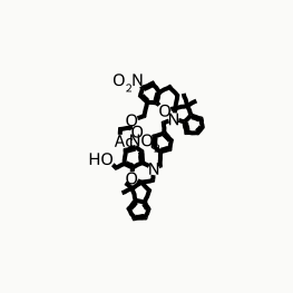 CC(=O)CC(=O)OCc1cc([N+](=O)[O-])cc2c1OC1(CC2)N(Cc2ccc(CN3CC4(Cc5ccccc5C4(C)C)Oc4c(CO)cc([N+](=O)[O-])cc43)cc2)c2ccccc2C1(C)C